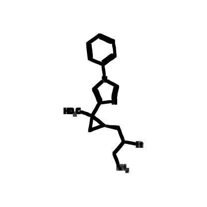 CCC(CN)C[C@H]1CC1(C(=O)O)c1cn(-c2ccccc2)cn1